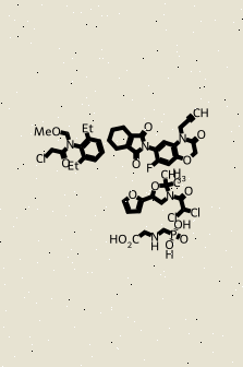 C#CCN1C(=O)COc2cc(F)c(N3C(=O)C4=C(CCCC4)C3=O)cc21.CC1(C)OC(c2ccco2)CN1C(=O)C(Cl)Cl.CCc1cccc(CC)c1N(COC)C(=O)CCl.O=C(O)CNCP(=O)(O)O